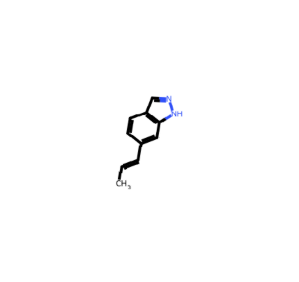 C/C=C/c1ccc2cn[nH]c2c1